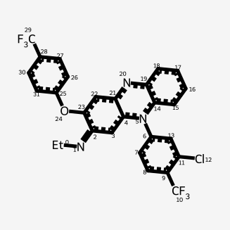 CCN=c1cc2n(-c3ccc(C(F)(F)F)c(Cl)c3)c3ccccc3nc-2cc1Oc1ccc(C(F)(F)F)cc1